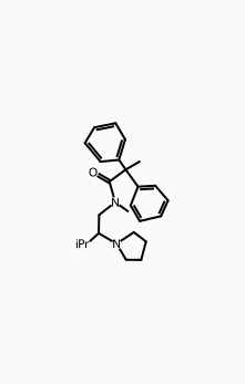 CC(C)C(CN(C)C(=O)C(C)(c1ccccc1)c1ccccc1)N1CCCC1